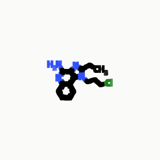 CCc1nc2c(N)nc3ccccc3c2n1CCCCl